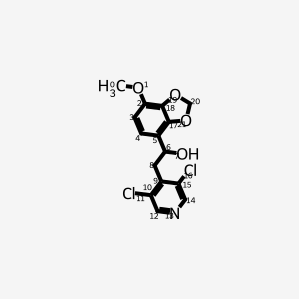 COc1ccc(C(O)Cc2c(Cl)cncc2Cl)c2c1OCO2